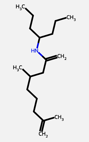 C=C(C)CCCC(C)CC(=C)NC(CCC)CCC